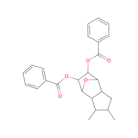 CC1CC2C3OC(C(OC(=O)c4ccccc4)C3OC(=O)c3ccccc3)C2C1C